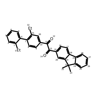 CCc1ccccc1-c1ccc(C(=O)C(=O)c2ccc3c(c2)C(C)(C)c2ccccc2-3)cc1CC